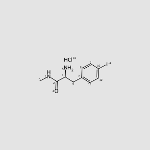 CNC(=O)C(N)Cc1ccc(I)cc1.Cl